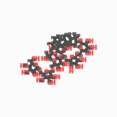 C[C@H](CC[C@@H](O[C@@H]1O[C@H](CO[C@@H]2O[C@H](CO[C@@H]3O[C@H](CO)[C@@H](O)[C@H](O)[C@H]3O)[C@@H](O)[C@H](O)[C@H]2O)[C@@H](O)[C@H](O)[C@H]1O[C@H]1C[C@@H](O)C[C@@H](CO)O1)C(C)(C)O)C1CC[C@@]2(C)C3CC=C4C(CC[C@H](O[C@@H]5O[C@H](CO[C@H]6OC(CO)[C@@H](O)[C@H](O)[C@H]6O)[C@@H](O)[C@H](O)[C@H]5O)C4(C)C)[C@]3(C)[C@H](O)C[C@]12C